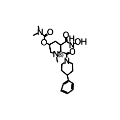 CN(C)C(=O)OC1CC(C(=O)NO)[C@@H](C(=O)N2CCC(c3ccccc3)CC2)N(C)C1